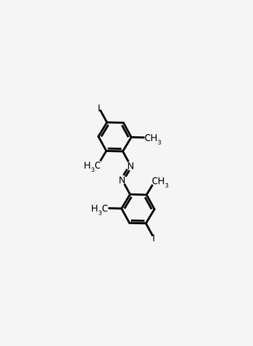 Cc1cc(I)cc(C)c1N=Nc1c(C)cc(I)cc1C